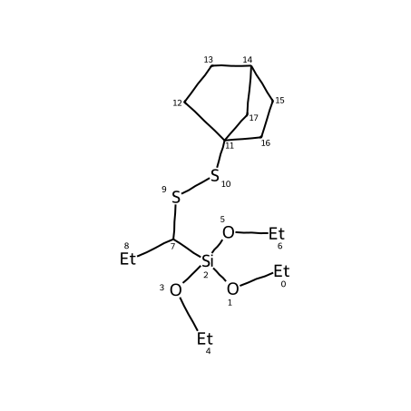 CCO[Si](OCC)(OCC)C(CC)SSC12CCC(CC1)C2